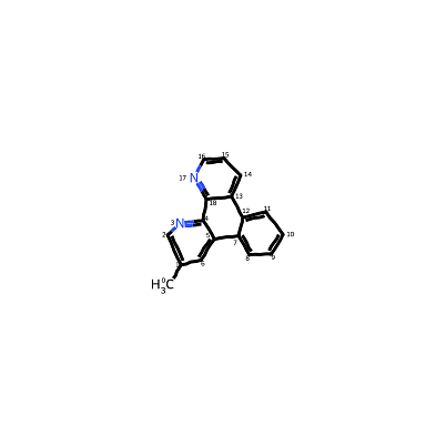 Cc1cnc2c(c1)c1ccccc1c1cccnc12